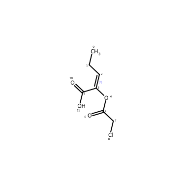 CC/C=C(/OC(=O)CCl)C(=O)O